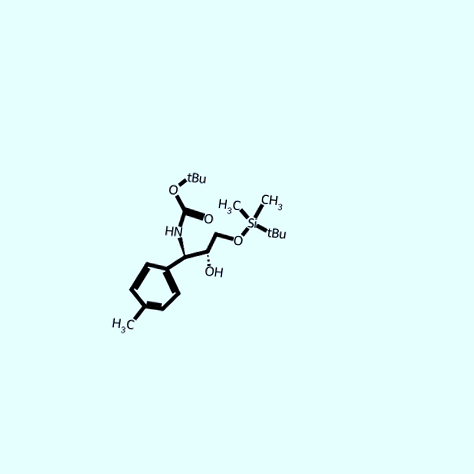 Cc1ccc([C@@H](NC(=O)OC(C)(C)C)[C@@H](O)CO[Si](C)(C)C(C)(C)C)cc1